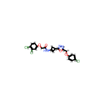 O=C(COc1ccc(Cl)c(Cl)c1)NC1=CC(c2nnc(COc3ccc(Cl)cc3)o2)C1